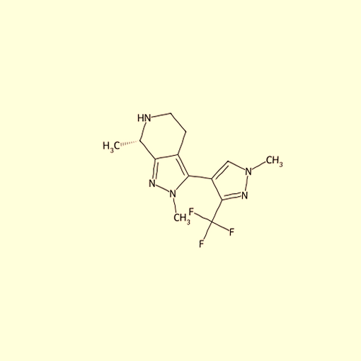 C[C@@H]1NCCc2c1nn(C)c2-c1cn(C)nc1C(F)(F)F